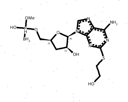 B[PH](O)(OC)OC[C@@H]1C[C@H](O)[C@H](n2cnc3c(N)nc(SCCO)nc32)O1